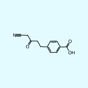 N#CCC(=O)CCc1ccc(C(=O)O)cc1